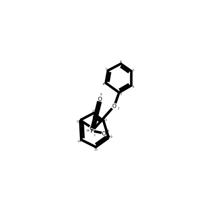 O=P1(Oc2ccccc2)Oc2ccc(cc2)O1